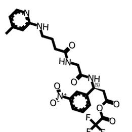 Cc1ccnc(NCCCC(=O)NCC(=O)N[C@@H](CC(=O)OC(=O)C(F)(F)F)c2cccc([N+](=O)[O-])c2)c1